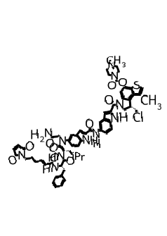 Cc1csc2c(OC(=O)N3CCN(C)CC3)cc3c(c12)[C@H](CCl)CN3C(=O)c1cc2cc(NC(=O)c3cc4cc(N(CC(N)=O)C(=O)[C@H](CC(C)C)NC(=O)[C@H](Cc5ccccc5)NC(=O)CCCCCN5C(=O)C=CC5=O)ccc4[nH]3)ccc2[nH]1